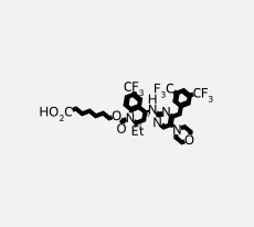 CC[C@@H]1C[C@H](Nc2ncc(N3CCOCC3)c(Cc3cc(C(F)(F)F)cc(C(F)(F)F)c3)n2)c2cc(C(F)(F)F)ccc2N1C(=O)OCCCCCCC(=O)O